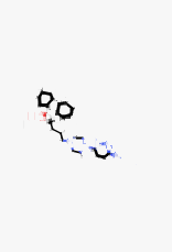 CC(C)(CCCN1CCN(c2ccc(N)nn2)CC1)[Si](O)(c1ccccc1)c1ccccc1